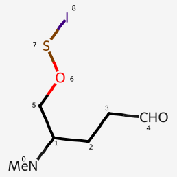 CNC(CCC=O)COSI